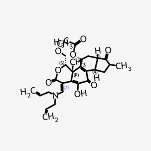 C=CCN(/C=C1\C(=O)O[C@H](COC)[C@@]2(C)C1=C(O)C(=O)C1=C2[C@H](OC(C)=O)C[C@@H]2C(=O)C(C)C[C@@H]12)CC=C